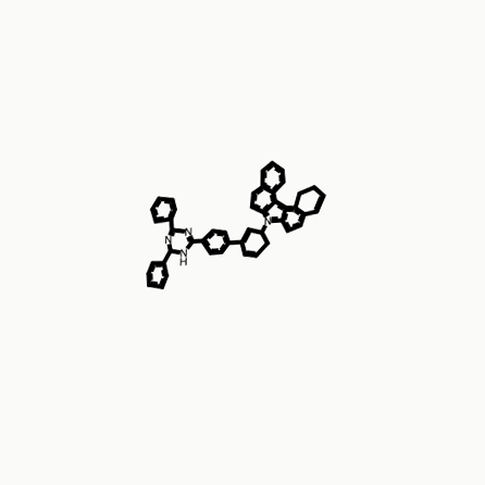 C1=Cc2ccc3c(c2CC1)c1c2ccccc2ccc1n3C1C=C(c2ccc(C3=NC(c4ccccc4)=NC(c4ccccc4)N3)cc2)C=CC1